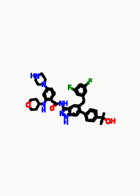 CC(C)(O)c1ccc(-c2cc3[nH]nc(NC(=O)c4ccc(N5CCNCC5)cc4NC4CCOCC4)c3cc2Cc2cc(F)cc(F)c2)cc1